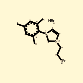 Br.Cc1cc(C)c(N2C=CN(CCC(C)C)C2)c(C)c1